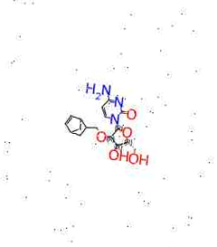 Nc1ccn([C@@H]2O[C@H](CO)[C@@H](O)[C@H]2OCC2CC3C=CC2C3)c(=O)n1